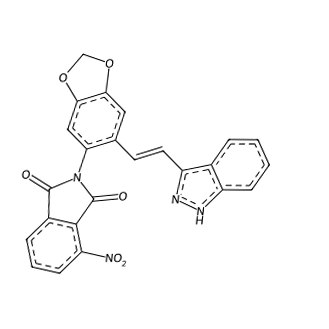 O=C1c2cccc([N+](=O)[O-])c2C(=O)N1c1cc2c(cc1C=Cc1n[nH]c3ccccc13)OCO2